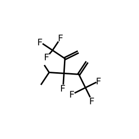 C=C(C(F)(F)F)C(F)(C(=C)C(F)(F)F)C(C)C